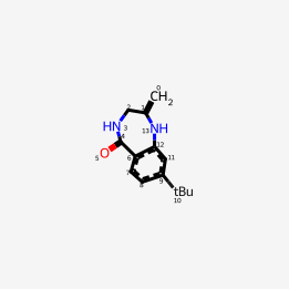 C=C1CNC(=O)c2ccc(C(C)(C)C)cc2N1